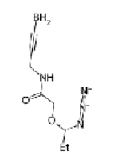 BC#CCNC(=O)COC(CC)N=[N+]=[N-]